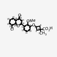 COc1c(OC2CC(C)(C(=O)O)C2)cccc1-c1cc(=O)c2cccc(Cl)c2o1